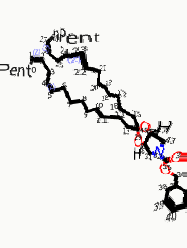 CCCCC/C=C\C/C=C\CCCCCCCCC1(CCCCCCCC/C=C\C/C=C\CCCCC)O[C@@H]2CN(C(=O)OCc3ccccc3)C[C@H]2O1